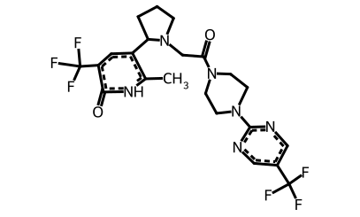 Cc1[nH]c(=O)c(C(F)(F)F)cc1C1CCCN1CC(=O)N1CCN(c2ncc(C(F)(F)F)cn2)CC1